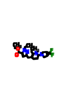 CCOC(=O)c1cc(Cc2ccc(N3CC4C(C3)C4(F)F)nc2CC)nn1CC